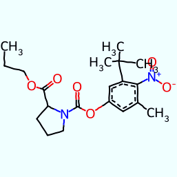 CCCOC(=O)C1CCCN1C(=O)Oc1cc(C)c([N+](=O)[O-])c(C(C)(C)C)c1